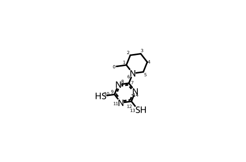 CC1CCCCN1c1nc(S)nc(S)n1